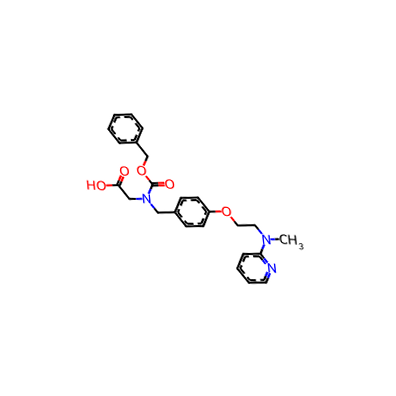 CN(CCOc1ccc(CN(CC(=O)O)C(=O)OCc2ccccc2)cc1)c1ccccn1